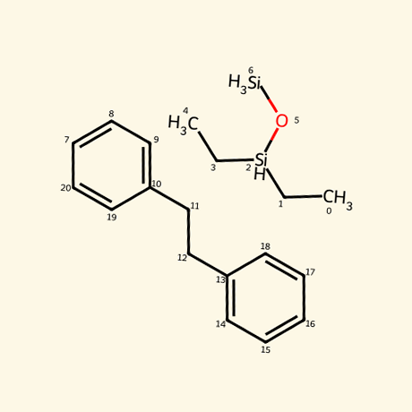 CC[SiH](CC)O[SiH3].c1ccc(CCc2ccccc2)cc1